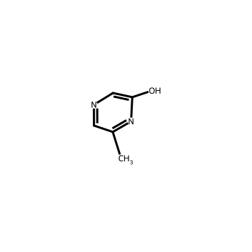 Cc1cncc(O)n1